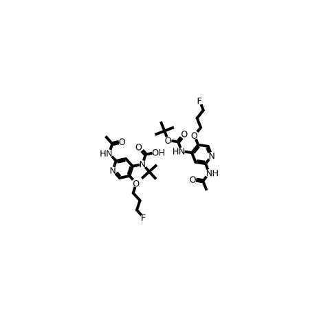 CC(=O)Nc1cc(N(C(=O)O)C(C)(C)C)c(OCCCF)cn1.CC(=O)Nc1cc(NC(=O)OC(C)(C)C)c(OCCCF)cn1